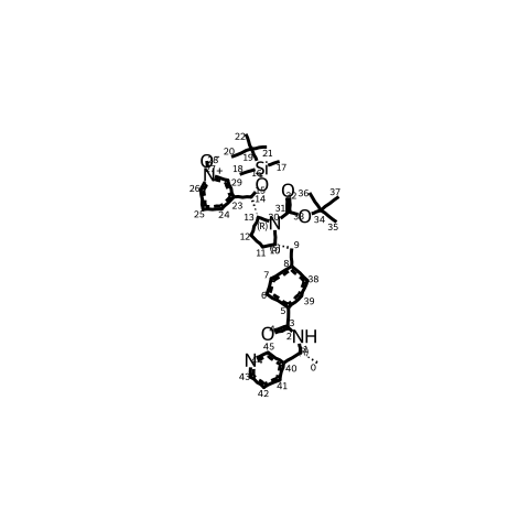 C[C@@H](NC(=O)c1ccc(C[C@@H]2CC[C@H](C(O[Si](C)(C)C(C)(C)C)c3ccc[n+]([O-])c3)N2C(=O)OC(C)(C)C)cc1)c1cccnc1